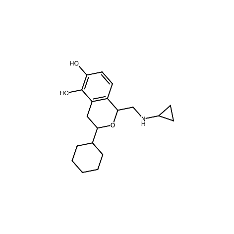 Oc1ccc2c(c1O)CC(C1CCCCC1)OC2CNC1CC1